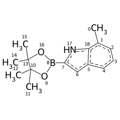 Cc1cccc2cc(B3OC(C)(C)C(C)(C)O3)[nH]c12